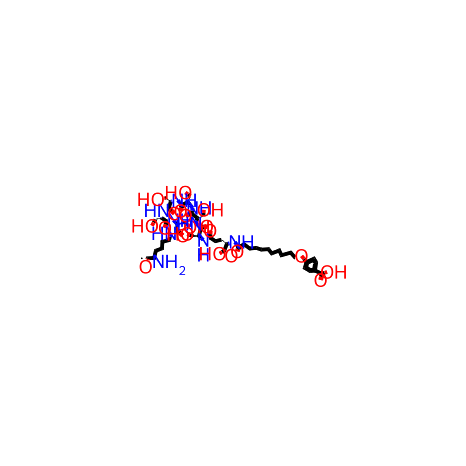 N[C@H]([C]=O)CCCCNC(=O)[C@H](CO)NC(=O)[C@H](CO)NC(=O)[C@H](CO)NC(=O)[C@H](CO)NC(=O)[C@H](CO)NC(=O)[C@H](CO)NC(=O)CC[C@H](NC(=O)CCCCCCCCCCOc1ccc(C(=O)O)cc1)C(=O)O